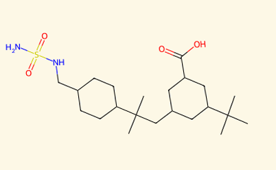 CC(C)(C)C1CC(CC(C)(C)C2CCC(CNS(N)(=O)=O)CC2)CC(C(=O)O)C1